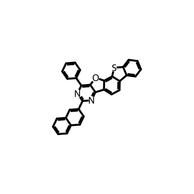 c1ccc(-c2nc(-c3ccc4ccccc4c3)nc3c2oc2c3ccc3c4ccccc4sc32)cc1